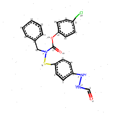 O=CNNc1ccc(SN(Cc2ccccc2)C(=O)Oc2ccc(Cl)cc2)cc1